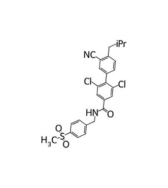 CC(C)Cc1ccc(-c2c(Cl)cc(C(=O)NCc3ccc(S(C)(=O)=O)cc3)cc2Cl)cc1C#N